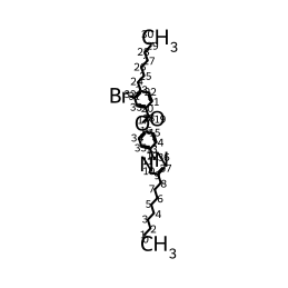 CCCCCCCCCc1cnc(-c2ccc(OC(=O)c3ccc(CCCCCCC)c(Br)c3)cc2)nc1